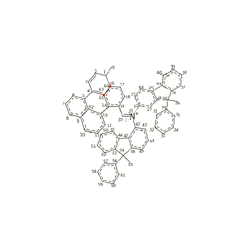 CC1C=CC(c2cccc3cccc(-c4ccccc4/C=[N+](\c4ccc5c(c4)C(C)(c4ccccc4)c4ccccc4-5)c4cccc5c4-c4ccccc4C5(C)c4ccccc4)c23)=CC1